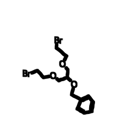 BrCCOCC(COCCBr)OCc1ccccc1